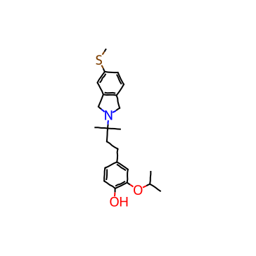 CSc1ccc2c(c1)CN(C(C)(C)CCc1ccc(O)c(OC(C)C)c1)C2